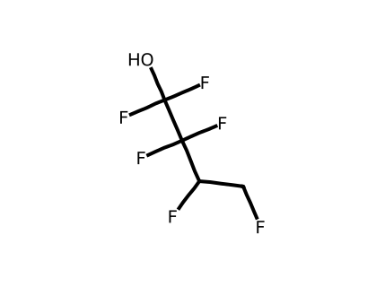 OC(F)(F)C(F)(F)C(F)CF